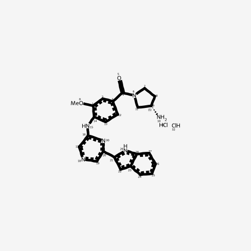 COc1cc(C(=O)N2CC[C@H](N)C2)ccc1Nc1cncc(-c2cc3ccccc3[nH]2)n1.Cl.Cl